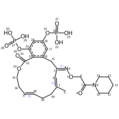 C/C1=C\C(=N/OCC(=O)N2CCCCC2)Cc2cc(OP(=O)(O)O)cc(OP(=O)(O)O)c2C(=O)OCC/C=C/CC1